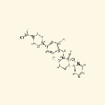 CC(=O)N1CCN(c2ccc(CN3[C@@H](C)CC[C@@H](c4ccccn4)S3(=O)=O)c(F)c2)CC1